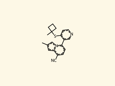 Cc1cc2c(C#N)ccc(-c3cnccc3SC3(C)CCC3)n2c1